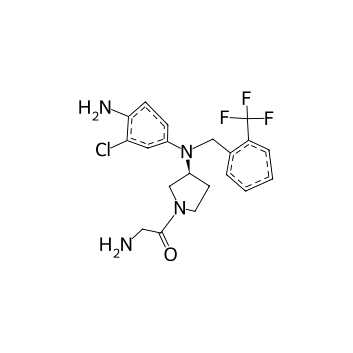 NCC(=O)N1CC[C@H](N(Cc2ccccc2C(F)(F)F)c2ccc(N)c(Cl)c2)C1